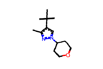 Cc1nn(C2CCOCC2)cc1C(C)(C)C